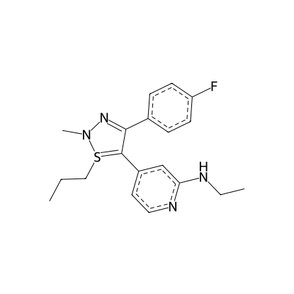 CCCS1=C(c2ccnc(NCC)c2)C(c2ccc(F)cc2)=NN1C